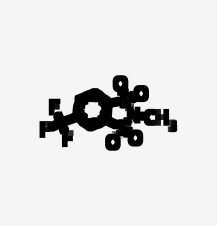 CN1S(=O)(=O)c2ccc(C(F)(F)F)cc2S1(=O)=O